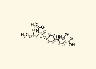 COC1C[C@H](C(=O)Nc2ccc(-c3ccc(C(=O)O)c(=O)[nH]3)cc2)N(C(C)=O)C1